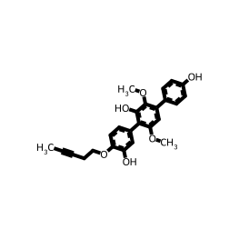 CC#CCCOc1ccc(-c2c(OC)cc(-c3ccc(O)cc3)c(OC)c2O)cc1O